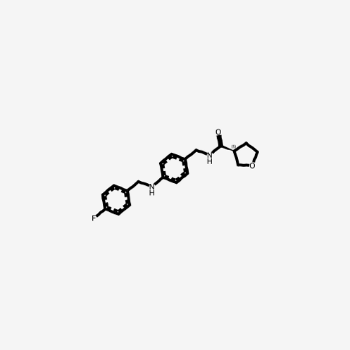 O=C(NCc1ccc(NCc2ccc(F)cc2)cc1)[C@H]1CCOC1